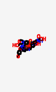 COc1ccc(CN(Cc2ccc(OC)cc2)S(=O)(=O)c2c(S(=O)(=O)NCC(O)CNC(=O)O)ccc(N3CCOC(CO)C3)c2-c2nnn(Cc3ccc(OC)cc3)n2)cc1